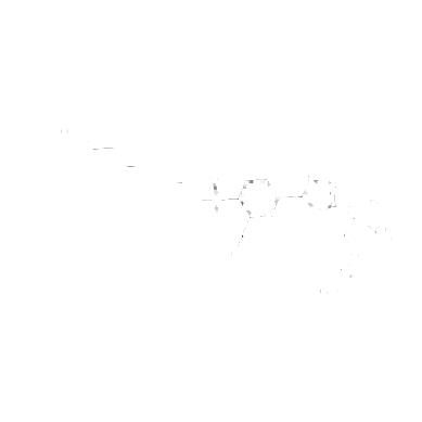 CCCCCCCCS(=O)(=O)c1ccc(-c2nnc([C@@](C)(N)COP(=O)(O)O)s2)cc1C(F)(F)F